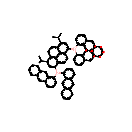 CC(C)c1cc(B(c2cccc3cc4ccccc4cc23)c2cccc3cc4ccccc4cc23)c2ccc3c(B(c4cccc5cc6ccccc6cc45)c4cccc5cc6ccccc6cc45)cc(C(C)C)c4ccc1c2c34